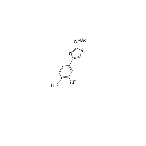 CC(=O)Nc1nc(-c2ccc(C)c(C(F)(F)F)c2)cs1